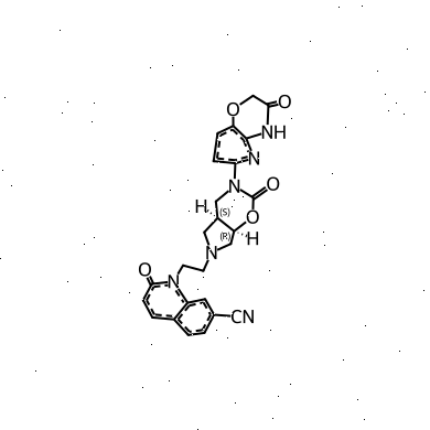 N#Cc1ccc2ccc(=O)n(CCN3C[C@H]4CN(c5ccc6c(n5)NC(=O)CO6)C(=O)O[C@H]4C3)c2c1